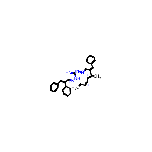 C=C/C=C\C=C(/C)C(=Cc1ccccc1)/C=N/NC(=N)N/N=C/C(=C/c1ccccc1)c1ccccc1